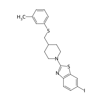 Cc1cccc(SCC2CCN(c3nc4ccc(I)cc4s3)CC2)c1